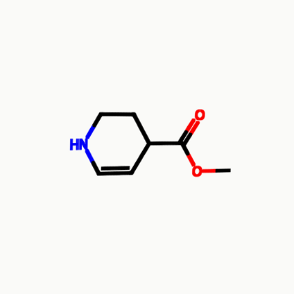 COC(=O)C1C=CNCC1